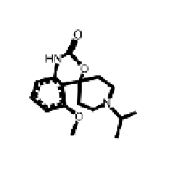 COc1cccc2c1C1(CCN(C(C)C)CC1)OC(=O)N2